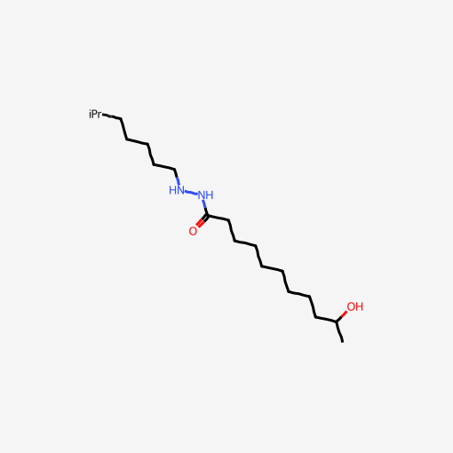 CC(C)CCCCCNNC(=O)CCCCCCCCC(C)O